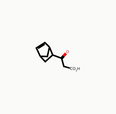 O=C(O)CC(=O)C1CC2C=CC1C2